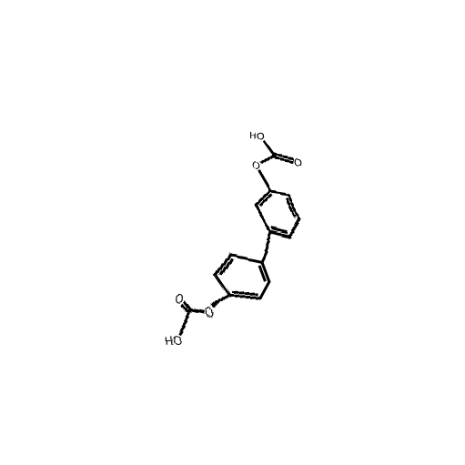 O=C(O)Oc1ccc(-c2cccc(OC(=O)O)c2)cc1